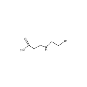 O=C(O)CCNCCBr